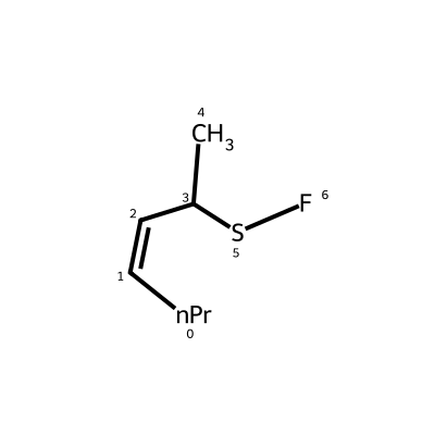 CCC/C=C\C(C)SF